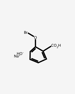 O=C(O)c1ccccc1OBr.[Na+].[OH-]